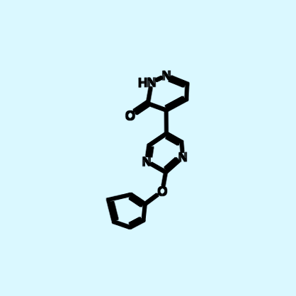 O=c1[nH]nccc1-c1cnc(Oc2ccccc2)nc1